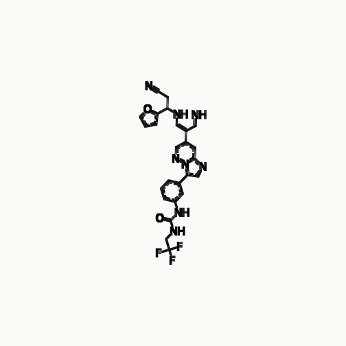 N#CCC(N/C=C(\C=N)c1cnn2c(-c3cccc(NC(=O)NCC(F)(F)F)c3)cnc2c1)c1ccco1